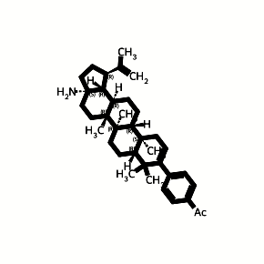 C=C(C)[C@@H]1CC[C@]2(N)CC[C@]3(C)[C@H](CC[C@@H]4[C@@]5(C)CC=C(c6ccc(C(C)=O)cc6)C(C)(C)[C@@H]5CC[C@]43C)[C@@H]12